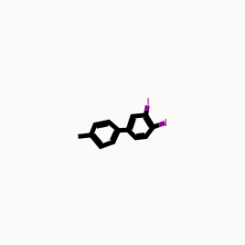 Cc1ccc(-c2ccc(I)c(I)c2)cc1